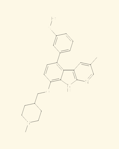 CCSc1cccc(-c2ccc(OCC3CCN(C)CC3)c3[nH]c4ncc(C)cc4c23)c1